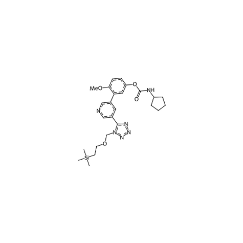 COc1ccc(OC(=O)NC2CCCC2)cc1-c1cncc(-c2nnnn2COCC[Si](C)(C)C)c1